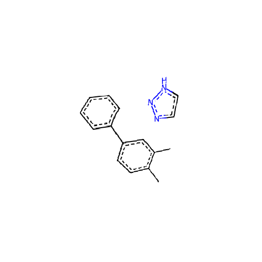 Cc1ccc(-c2ccccc2)cc1C.c1c[nH]nn1